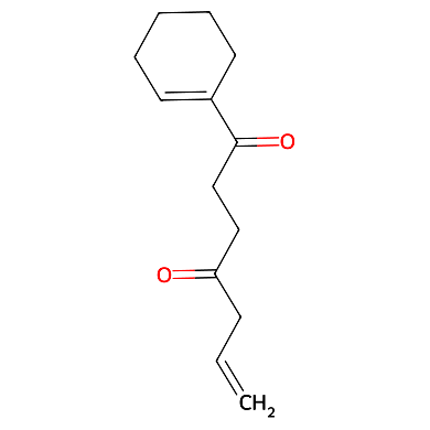 C=CCC(=O)CCC(=O)C1=CCCCC1